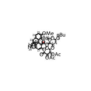 CCCCOC(=O)C[C@@H](OC(=O)[C@H](OC(C)=O)[C@@H](OC(C)=O)C(=O)OC1=CC[C@]2(O)[C@@H]3Cc4ccc(OC)c5c4[C@]2(CCN3C)[C@@H]1O5)C(=O)OC(C)(C)C